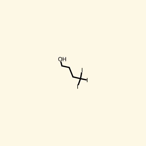 OCCCC(I)(I)I